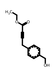 CCOC(=O)C#CCc1ccc(CO)cc1